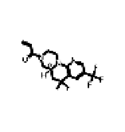 C=CC(=O)N1CCN2c3ncc(C(F)(F)F)cc3C(C)(F)C[C@@H]2C1